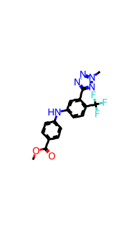 COC(=O)c1ccc(Nc2ccc(C(F)(F)F)c(-c3nnn(C)n3)c2)cc1